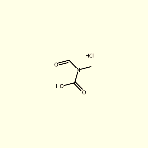 CN(C=O)C(=O)O.Cl